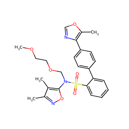 COCCOCN(c1onc(C)c1C)S(=O)(=O)c1ccccc1-c1ccc(-c2ncoc2C)cc1